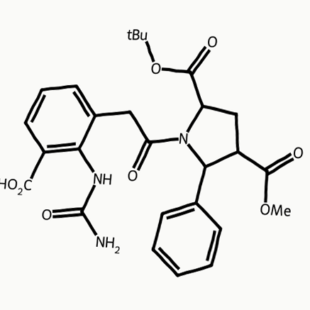 COC(=O)C1CC(C(=O)OC(C)(C)C)N(C(=O)Cc2cccc(C(=O)O)c2NC(N)=O)C1c1ccccc1